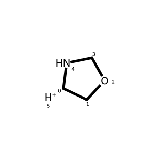 C1COCN1.[H+]